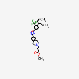 C=C/C=C(/C=C\C)c1ccc(-c2nc(-c3ccc4c(c3)CCN(CCCC(=O)OCC)CC4)no2)cc1C(F)(F)F